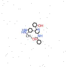 CC1NNc2ccc(-c3cc(NC(CO)c4ccccc4)cnc3-c3ccccc3O)cc21